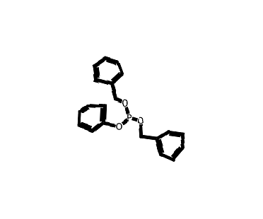 c1ccc(COP(OCc2ccccc2)Oc2ccccc2)cc1